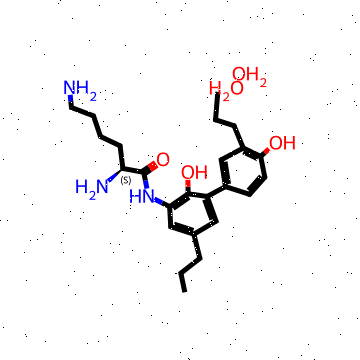 CCCc1cc(NC(=O)[C@@H](N)CCCCN)c(O)c(-c2ccc(O)c(CCC)c2)c1.O.O